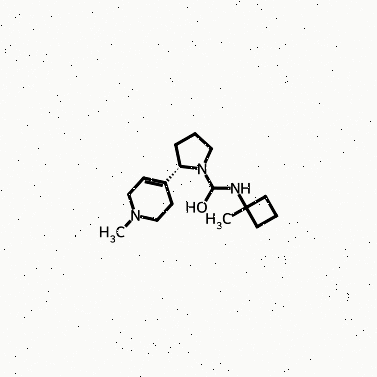 CN1CC=C([C@@H]2CCCN2C(O)NC2(C)CCC2)CC1